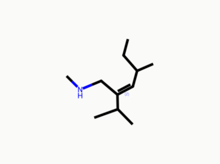 CCC(C)/C=C(\CNC)C(C)C